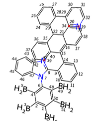 Bc1c(B)c(B)c(-n2c(-c3ccccc3C3=C4C=CC=CC4C(c4ccccc4-c4cccnc4)c4ccccc43)nc3ccccc32)c(B)c1B